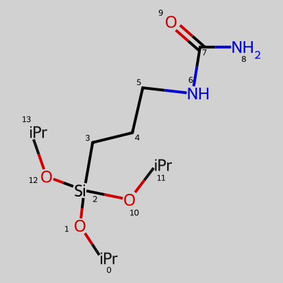 CC(C)O[Si](CCCNC(N)=O)(OC(C)C)OC(C)C